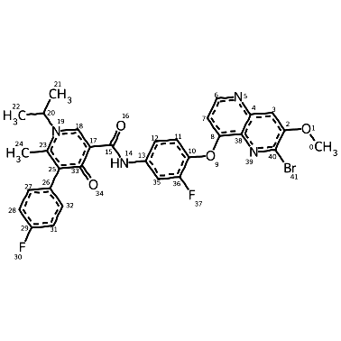 COc1cc2nccc(Oc3ccc(NC(=O)c4cn(C(C)C)c(C)c(-c5ccc(F)cc5)c4=O)cc3F)c2nc1Br